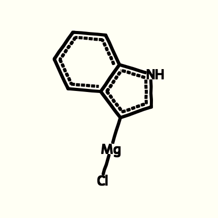 [Cl][Mg][c]1c[nH]c2ccccc12